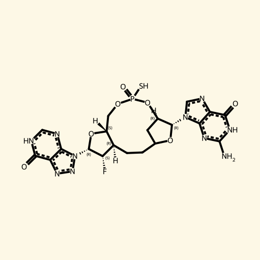 Nc1nc2c(ncn2[C@@H]2OC3CC[C@H]4[C@H](F)[C@H](n5nnc6c(=O)[nH]cnc65)O[C@@H]4COP(=O)(S)O[C@@H]2C3)c(=O)[nH]1